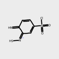 N=C1C=CC(S(=O)(=O)Cl)=C/C1=N/S